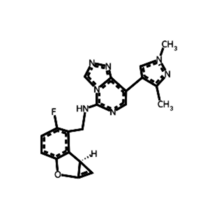 Cc1nn(C)cc1-c1cnc(NCc2c(F)ccc3c2[C@H]2C=C2O3)n2cnnc12